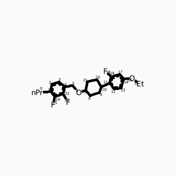 CCCc1ccc(COC2CCC(c3ccc(OCC)cc3F)CC2)c(F)c1F